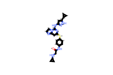 O=C(CNC1CC1)Nc1ccc(Sc2cc3nccn3c(Nc3cc(C4CC4)[nH]n3)n2)cc1